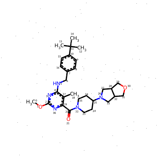 COc1nc(NCc2ccc(C(C)(C)C)cc2)c(C)c(C(=O)N2CCC(N3CC4COCC4C3)CC2)n1